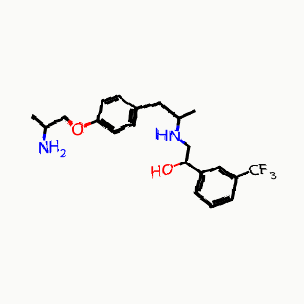 CC(N)COc1ccc(CC(C)NCC(O)c2cccc(C(F)(F)F)c2)cc1